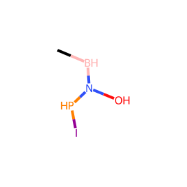 CBN(O)PI